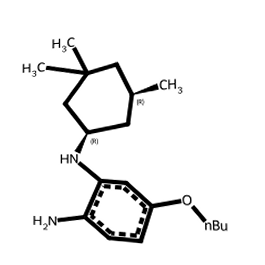 CCCCOc1ccc(N)c(N[C@@H]2C[C@H](C)CC(C)(C)C2)c1